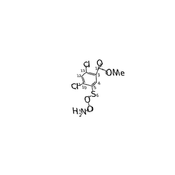 COC(=O)c1cc(SOON)c(Cl)cc1Cl